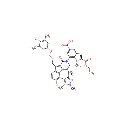 CCOC(=O)c1cc2cc(C(=O)O)cc(N3CC(C)n4c(c(CCCOc5cc(C)c(Cl)c(C)c5)c5ccc(Cl)c(-c6c(C)nn(C)c6C)c54)C3=O)c2n1C